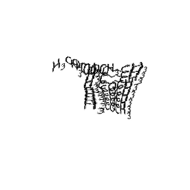 CCCCCC.CCCCCC.CCCCCC.CCOCC.CCOCC.CCOCC.CCOCC.CCOCC.CCOCC.CCOCC